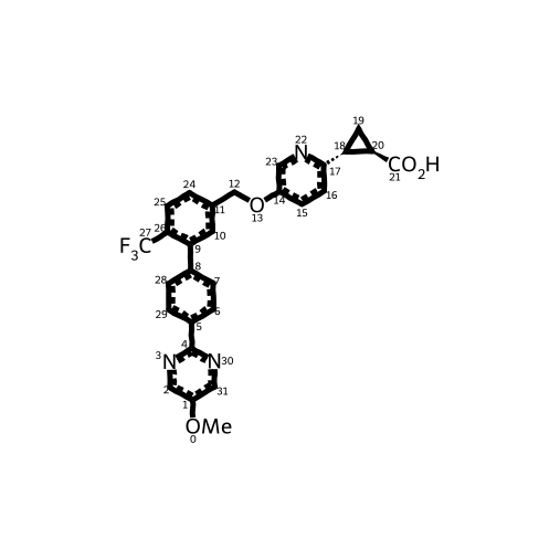 COc1cnc(-c2ccc(-c3cc(COc4ccc([C@@H]5C[C@H]5C(=O)O)nc4)ccc3C(F)(F)F)cc2)nc1